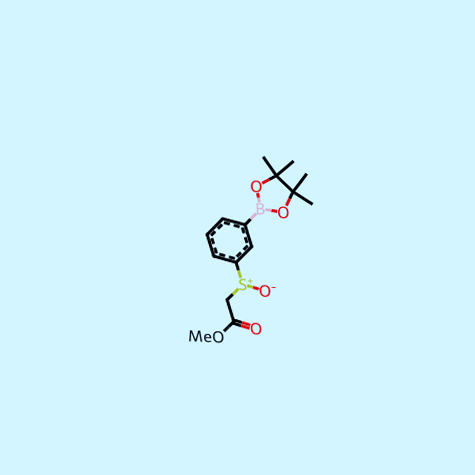 COC(=O)C[S+]([O-])c1cccc(B2OC(C)(C)C(C)(C)O2)c1